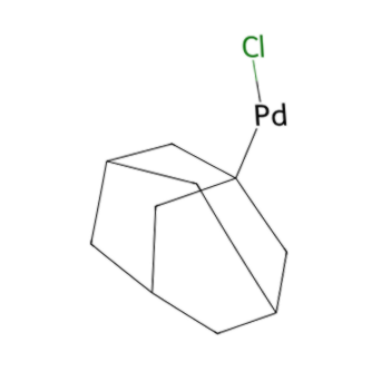 [Cl][Pd][C]12CC3CC(CC(C3)C1)C2